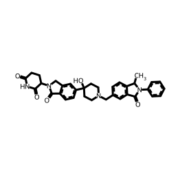 CC1c2ccc(CN3CCC(O)(c4ccc5c(c4)CN(C4CCC(=O)NC4=O)C5=O)CC3)cc2C(=O)N1c1ccccc1